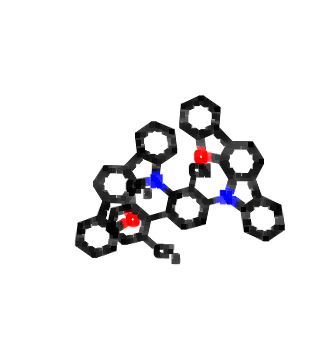 N#Cc1c(-n2c3ccccc3c3ccc4c5ccccc5oc4c32)ccc(-c2c(C(F)(F)F)cccc2C(F)(F)F)c1-n1c2ccccc2c2ccc3c4ccccc4oc3c21